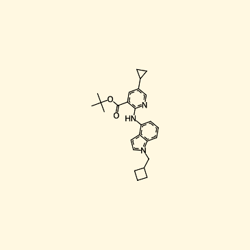 CC(C)(C)OC(=O)c1cc(C2CC2)cnc1Nc1cccc2c1ccn2CC1CCC1